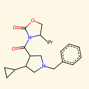 CC(C)C1COC(=O)N1C(=O)C1CN(Cc2ccccc2)CC1C1CC1